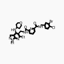 CCc1nc2c(cnn2CC)c(NC2CCOCC2)c1CNC(=O)c1cccc(C(=O)NCc2ccc(Cl)c(Br)c2)n1